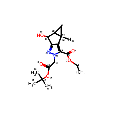 CCOC(=O)c1c2c(nn1CC(=O)OC(C)(C)C)C(O)C1C[C@H]21